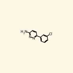 Nc1ccc(-c2cccc(Cl)c2)nn1